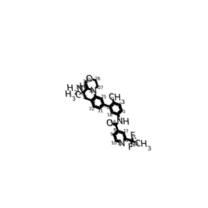 Cc1ccc(NC(=O)c2ccnc(C(C)(F)F)c2)cc1-c1ccc2c(c1)N1CCOC[C@H]1[C@](C)(N)C2